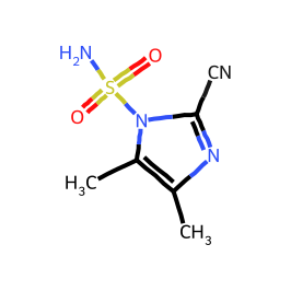 Cc1nc(C#N)n(S(N)(=O)=O)c1C